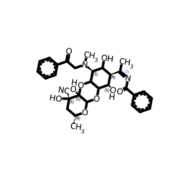 C/C(=N/C(=O)c1ccccc1)[C@@H]1C(O)[C@H](N(C)CC(=O)c2ccccc2)C2O[C@]3(O)C(OC2[C@H]1O)O[C@H](C)C[C@]3(O)C#N